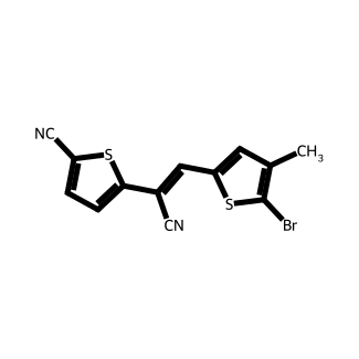 Cc1cc(/C=C(\C#N)c2ccc(C#N)s2)sc1Br